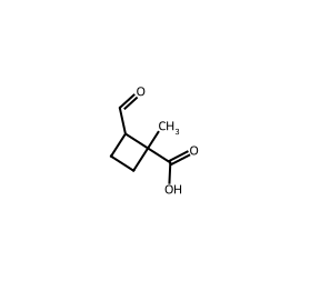 CC1(C(=O)O)CCC1C=O